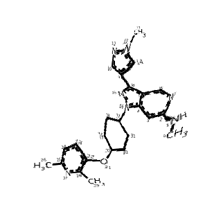 CNc1cc2c(cn1)c(-c1cnn(C)c1)nn2C1CCC(Oc2ccc(C)nc2C)CC1